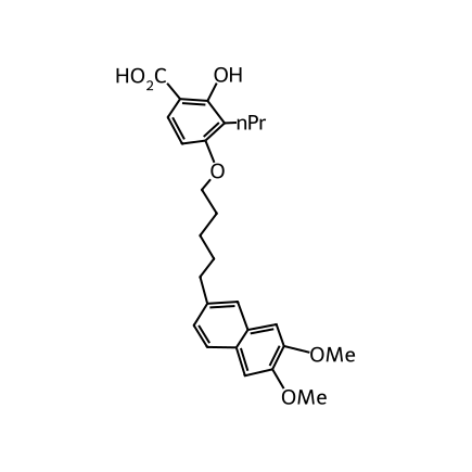 CCCc1c(OCCCCCc2ccc3cc(OC)c(OC)cc3c2)ccc(C(=O)O)c1O